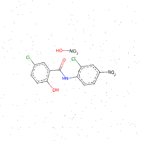 O=C(Nc1ccc([N+](=O)[O-])cc1Cl)c1cc(Cl)ccc1O.O=[N+]([O-])O